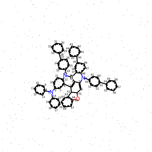 C1=C2C3=C(c4cc(N(c5ccccc5)c5ccccc5)ccc4N(c4ccc(-c5ccccc5)cc4)B3c3cc(-c4ccccc4)ccc3N2c2ccc(-c3ccccc3)cc2)C2c3ccccc3OC12